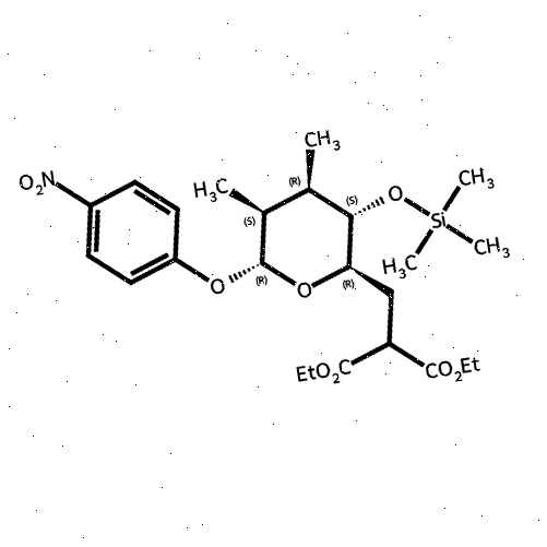 CCOC(=O)C(C[C@H]1O[C@H](Oc2ccc([N+](=O)[O-])cc2)[C@@H](C)[C@@H](C)[C@@H]1O[Si](C)(C)C)C(=O)OCC